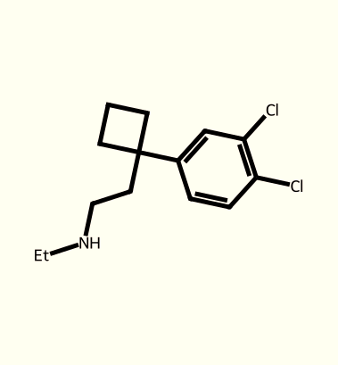 CCNCCC1(c2ccc(Cl)c(Cl)c2)CCC1